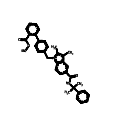 Cc1c(C)n(Cc2ccc(-c3ccccc3C(=O)OC(C)(C)C)cc2)c2ccc(C(=O)NC(C)(C)c3ccccc3)cc12